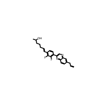 C=CCc1ccc2nc(-c3ccc(C=CCCCC(C)O)c(F)c3F)cnc2c1